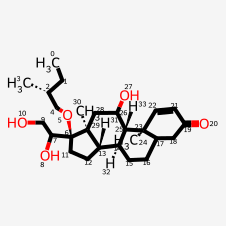 CC[C@@H](C)CO[C@]1(C(O)CO)CC[C@H]2[C@@H]3CCC4CC(=O)C=C[C@]4(C)[C@H]3C(O)C[C@@]21C